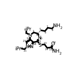 CC(C)CN1C[C@H](CCCCN)N=C(SCCC(N)=O)c2nn(CC(C)C)cc21